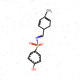 CC1=CCC(/C=N/S(=O)(=O)c2ccc(O)cc2)C=C1